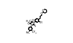 CCc1cc(N2C(=S)N(c3ccc(C#N)c(C(F)(F)F)c3)C(=O)C2(C)C)ccc1CCCOC1CCCCO1